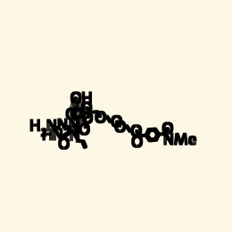 C=CCn1c(=O)n([C@@H]2O[C@H](CO)[C@H]3OC(COCCOOCCOC(=O)c4ccc(C(=O)NC)cc4)O[C@H]32)c2nc(N)[nH]c(=O)c21